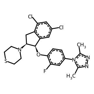 Cc1nnc(C)n1-c1ccc(O[C@@H]2c3cc(Cl)cc(Cl)c3C[C@@H]2N2CCSCC2)c(F)c1